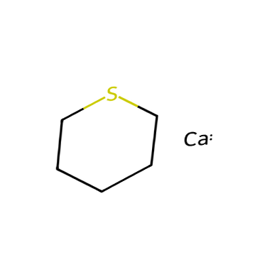 C1CCSCC1.[Ca]